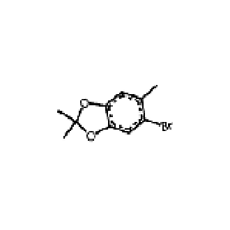 Cc1cc2c(cc1Br)OC(C)(C)O2